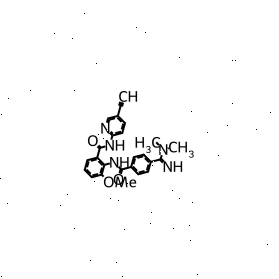 C#Cc1ccc(NC(=O)c2cccc(OC)c2NC(=O)c2ccc(C(=N)N(C)C)cc2)nc1